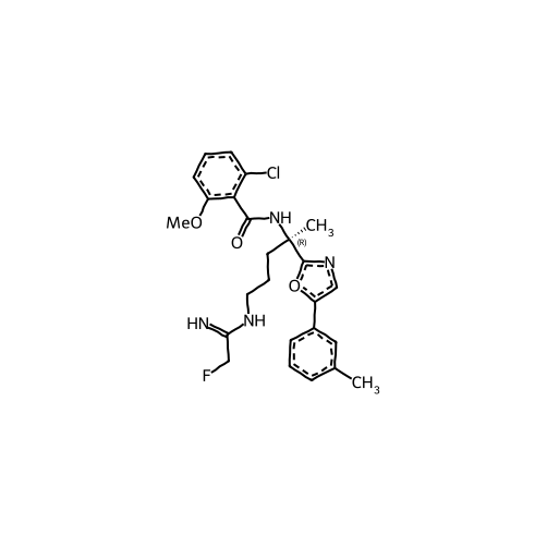 COc1cccc(Cl)c1C(=O)N[C@](C)(CCCNC(=N)CF)c1ncc(-c2cccc(C)c2)o1